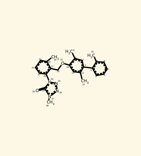 Cc1cc(-c2ccccc2C)c(C)cc1OCc1c(C)cccc1-n1nnn(C)c1=O